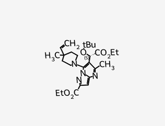 C=CC1(C)CCN(c2c([C@H](OC(C)(C)C)C(=O)OCC)c(C)nc3cc(C(=O)OCC)nn23)CC1